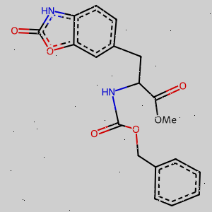 COC(=O)C(Cc1ccc2[nH]c(=O)oc2c1)NC(=O)OCc1ccccc1